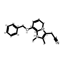 CC1=C(CC#N)N2CC=CC(OCc3ccccc3)=C2N1C